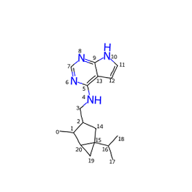 CC1C(CNc2ncnc3[nH]ccc23)CC2(C(C)C)CC12